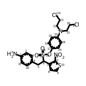 Nc1ccc(CC(c2ccsc2[N+](=O)[O-])S(=O)(=O)Oc2ccc(N(CCCl)CCCl)cc2)cc1